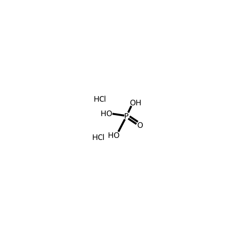 Cl.Cl.O=P(O)(O)O